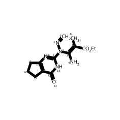 C=NN(/C(N)=C(\C)C(=O)OCC)c1nc2c(c(=O)[nH]1)CCC2